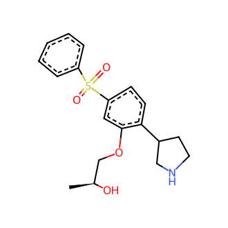 C[C@H](O)COc1cc(S(=O)(=O)c2ccccc2)ccc1C1CCNC1